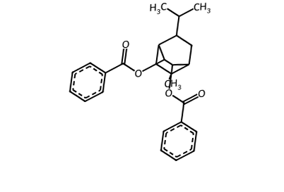 CC(C)C1CC2C(C)CC1C(OC(=O)c1ccccc1)C2OC(=O)c1ccccc1